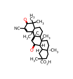 CC1(C)C(=O)C(C#N)=C[C@]2(C)C3=CC(=O)[C@@H]4[C@@H]5C[C@@](C)(C(=O)O)CC[C@]5(C)CC[C@@]4(C)[C@]3(C)CCC12